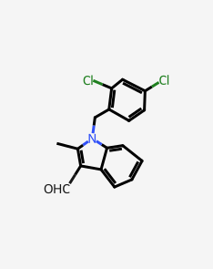 Cc1c(C=O)c2ccccc2n1Cc1ccc(Cl)cc1Cl